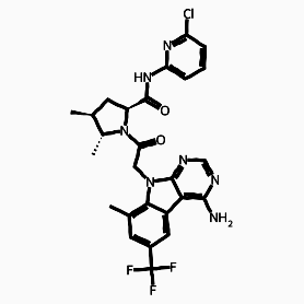 Cc1cc(C(F)(F)F)cc2c3c(N)ncnc3n(CC(=O)N3[C@H](C)[C@@H](C)C[C@H]3C(=O)Nc3cccc(Cl)n3)c12